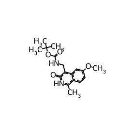 COc1ccc2c(C)[nH]c(=O)c(CNC(=O)OC(C)(C)C)c2c1